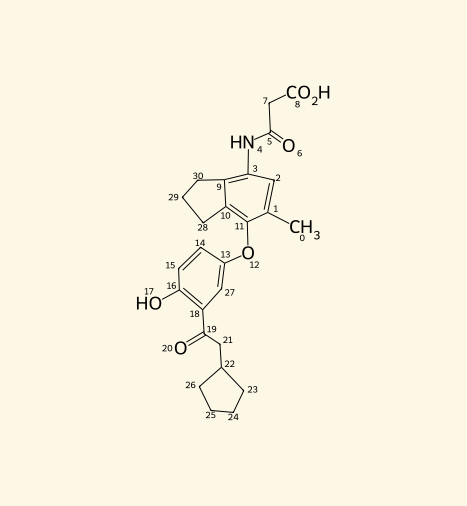 Cc1cc(NC(=O)CC(=O)O)c2c(c1Oc1ccc(O)c(C(=O)CC3CCCC3)c1)CCC2